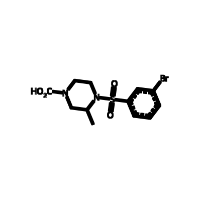 CC1CN(C(=O)O)CCN1S(=O)(=O)c1cccc(Br)c1